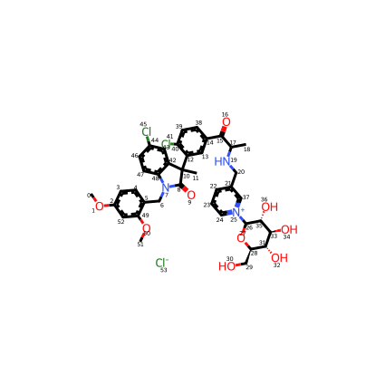 COc1ccc(CN2C(=O)C(C)(c3cc(C(=O)C(C)NCc4ccc[n+](C5O[C@H](CO)[C@@H](O)[C@H](O)[C@H]5O)c4)ccc3Cl)c3cc(Cl)ccc32)c(OC)c1.[Cl-]